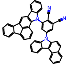 N#Cc1cc(-n2c3ccccc3c3c4ccccc4ccc32)cc(-n2c3ccccc3c3cc4c5c(cccc5c32)-c2ccccc2-4)c1C#N